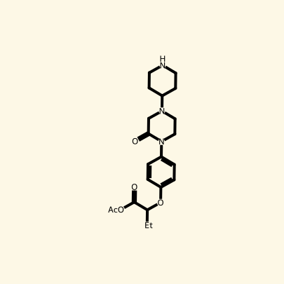 CCC(Oc1ccc(N2CCN(C3CCNCC3)CC2=O)cc1)C(=O)OC(C)=O